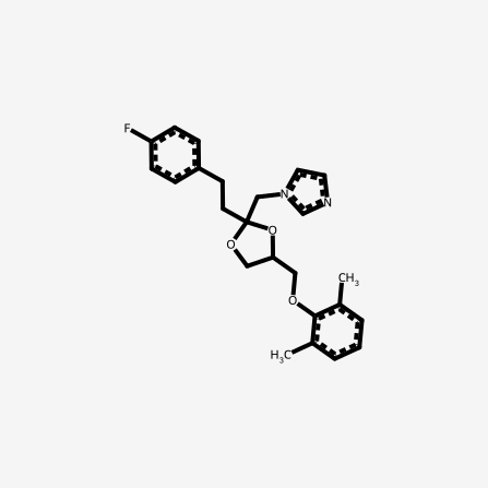 Cc1cccc(C)c1OCC1COC(CCc2ccc(F)cc2)(Cn2ccnc2)O1